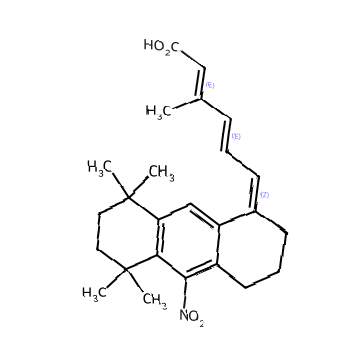 CC(/C=C/C=C1/CCCc2c1cc1c(c2[N+](=O)[O-])C(C)(C)CCC1(C)C)=C\C(=O)O